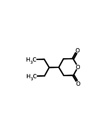 CCC(CC)C1CC(=O)OC(=O)C1